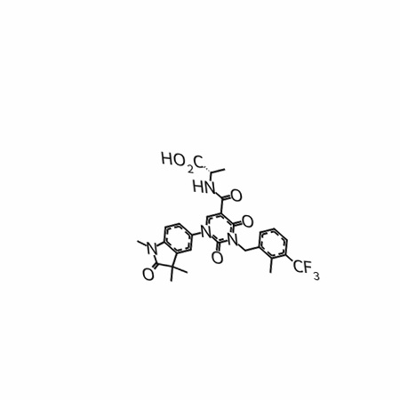 Cc1c(Cn2c(=O)c(C(=O)N[C@@H](C)C(=O)O)cn(-c3ccc4c(c3)C(C)(C)C(=O)N4C)c2=O)cccc1C(F)(F)F